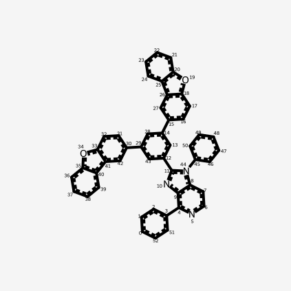 c1ccc(-c2nccc3c2nc(-c2cc(-c4ccc5oc6ccccc6c5c4)cc(-c4ccc5oc6ccccc6c5c4)c2)n3-c2ccccc2)cc1